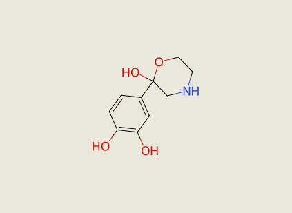 Oc1ccc(C2(O)CNCCO2)cc1O